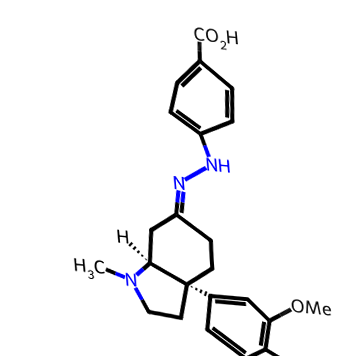 COc1ccc([C@@]23CC/C(=N\Nc4ccc(C(=O)O)cc4)C[C@@H]2N(C)CC3)cc1OC